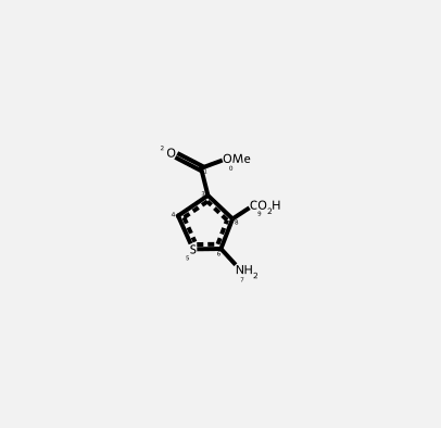 COC(=O)c1csc(N)c1C(=O)O